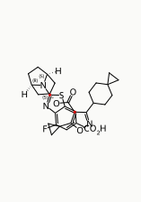 O=C(O)c1cc(F)c2nc(N3[C@@H]4CC[C@H]3C[C@H](OC(=O)c3c(C5CCC6(CC5)CC6)noc3C3CC3)C4)sc2c1